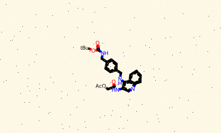 CC(=O)OCC(=O)Nc1cnc2ccccc2c1NCc1ccc(CNC(=O)OC(C)(C)C)cc1